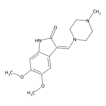 COc1cc2c(cc1OC)C(=CN1CCN(C)CC1)C(=O)N2